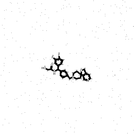 O=C(CO)NC(c1ccc(CN2CCC3(CC2)OCc2ccncc23)cc1)c1ccc(F)c(F)c1